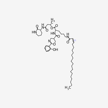 CCCCCCCCCCCCCCCCC/C=C\C(=O)NCCCCC(NC(=O)C1CN=C(c2ccccc2O)OC1)C(=O)OC(C)CC(=O)NC1CCCCNC1=O